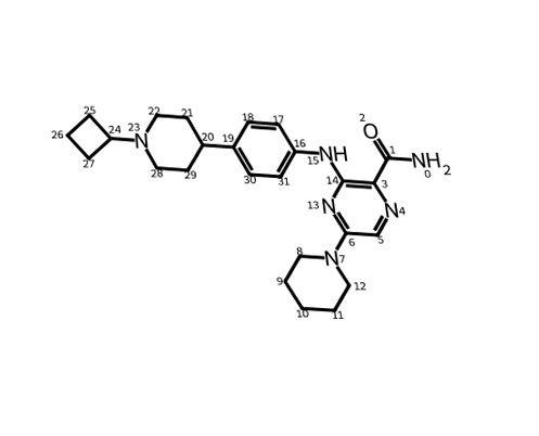 NC(=O)c1ncc(N2CCCCC2)nc1Nc1ccc(C2CCN(C3CCC3)CC2)cc1